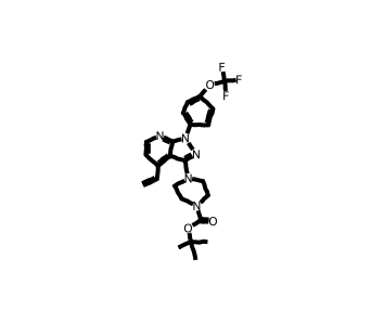 C=Cc1ccnc2c1c(N1CCN(C(=O)OC(C)(C)C)CC1)nn2-c1ccc(OC(F)(F)F)cc1